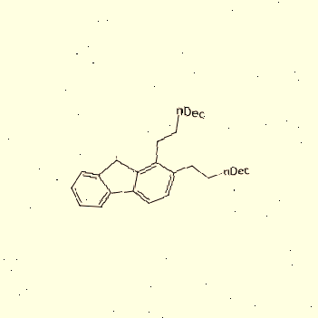 CCCCCCCCCCCCc1ccc2c(c1CCCCCCCCCCCC)[CH]c1ccccc1-2